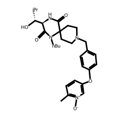 CCCCN1C(=O)[C@@H]([C@H](O)C(C)C)NC(=O)C12CCN(Cc1ccc(Oc3ccc(C)[n+]([O-])c3)cc1)CC2